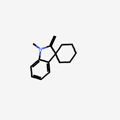 C=C1N(C)c2ccccc2C12CCCCC2